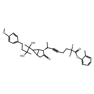 COc1ccc(CCC(C)(O)C(C)(O)C2C3CC(=O)[C@H](C(C)C#CCCC(F)(F)C(=O)Oc4ccccc4C)C32)cc1